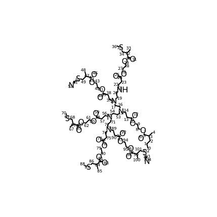 CCCC(C)C(=O)OCCOC(=O)CCN(CCN(CCNCCC(=O)OCCOC(=O)C(C)CSC)CCC(=O)OCCOC(=O)C(C)CSC#N)CCN(CCC(=O)OCCOC(=O)C(C)CSC)CCN(CCC(=O)OCCOC(=O)C(C)CSC)CCC(=O)OCCOC(=O)C(C)CSC#N